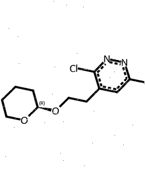 Clc1cc(CCO[C@@H]2CCCCO2)c(Cl)nn1